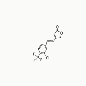 O=C1C=C(/C=C/c2ccc(C(F)(F)F)c(Cl)c2)CO1